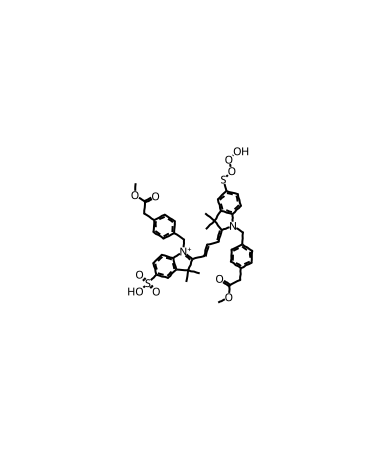 COC(=O)Cc1ccc(CN2/C(=C/C=C/C3=[N+](Cc4ccc(CC(=O)OC)cc4)c4ccc(S(=O)(=O)O)cc4C3(C)C)C(C)(C)c3cc(SOOO)ccc32)cc1